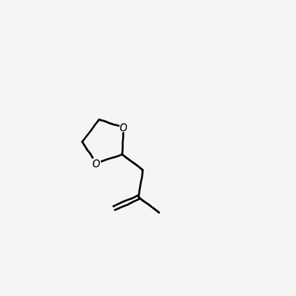 C=C(C)CC1OCCO1